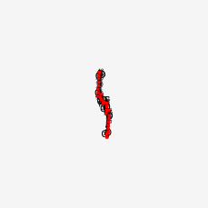 C=CC(=O)OCCCCCCCCCOc1ccc(C(=O)Oc2cc(F)c(OC(=O)c3ccc(OCCCCCCCCCOC(=O)C=C)cc3)c(F)c2)cc1